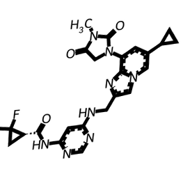 CN1C(=O)CN(c2cc(C3CC3)cn3cc(CNc4cc(NC(=O)[C@@H]5CC5(F)F)ncn4)nc23)C1=O